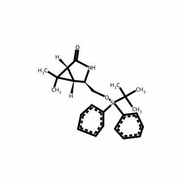 CC1(C)[C@H]2[C@H](CO[Si](c3ccccc3)(c3ccccc3)C(C)(C)C)NC(=O)[C@H]21